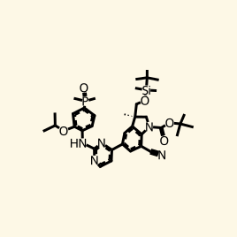 CC(C)Oc1cc(P(C)(C)=O)ccc1Nc1nccc(-c2cc(C#N)c3c(c2)[C@@](C)(CO[Si](C)(C)C(C)(C)C)CN3C(=O)OC(C)(C)C)n1